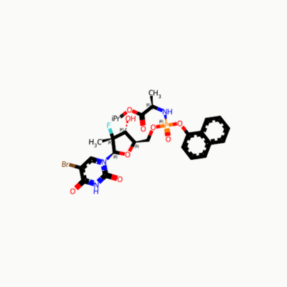 CC(C)OC(=O)[C@@H](C)N[P@@](=O)(OC[C@H]1O[C@@H](n2cc(Br)c(=O)[nH]c2=O)[C@](C)(F)[C@@H]1O)Oc1cccc2ccccc12